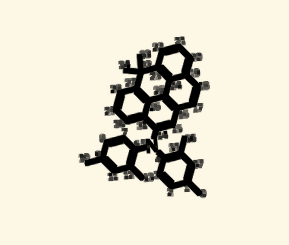 Cc1ccc(N(c2ccc(C)cc2C)c2cc3ccc4cccc5c4c3c3c(cccc23)C5(C)C)c(C)c1